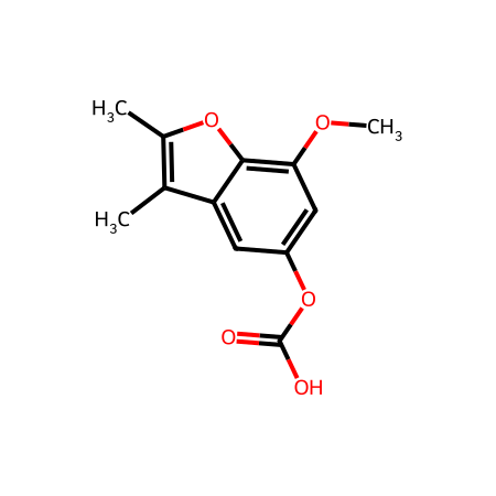 COc1cc(OC(=O)O)cc2c(C)c(C)oc12